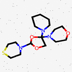 C1CCN(C2(N3CCOCC3)CO[C](N3CCSCC3)O2)CC1